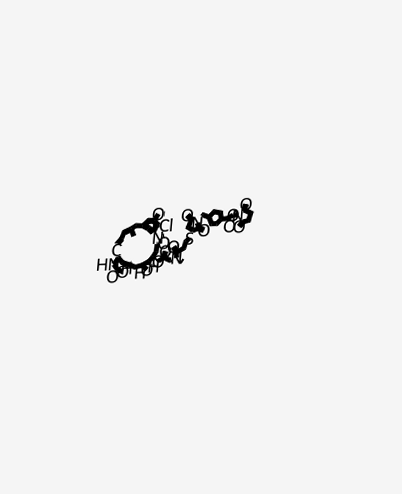 COc1cc2cc(c1Cl)N(C)C(=O)C[C@@H](OC(=O)CN(C)C(=O)CCSC1CC(=O)N(CC3CCC(C(=O)ON4C(=O)CCC4=O)CC3)C1=O)[C@H]1O[C@@H]1C[C@H]1CC(C/C=C/C=C(\C)C2)NC(=O)O1